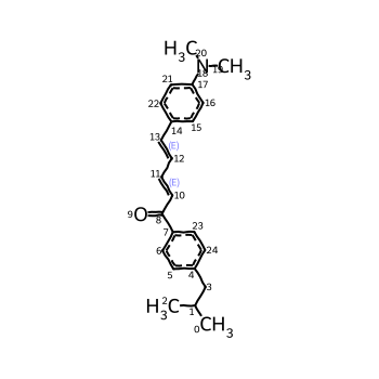 CC(C)Cc1ccc(C(=O)/C=C/C=C/c2ccc(N(C)C)cc2)cc1